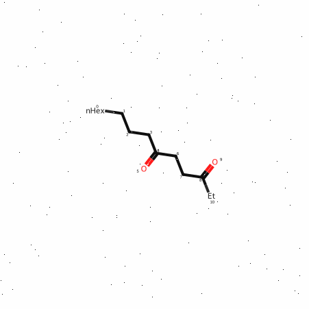 CCCCCCCCCC(=O)CCC(=O)CC